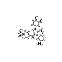 CN(C)c1ccc(CN(C)[C@H]2CN(C(=O)N3CCN(S(C)(=O)=O)CC3)C[C@@H]2c2ccc(Cl)c(Cl)c2)cc1